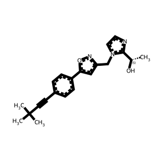 C[C@H](O)c1nccn1Cc1cc(-c2ccc(C#CC(C)(C)C)cc2)on1